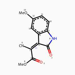 [C-]#[N+]/C(C(=O)OC)=C1/C(=O)Nc2ccc(OC)cc21